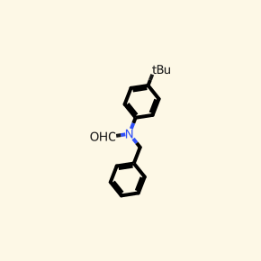 CC(C)(C)c1ccc(N(C=O)Cc2ccccc2)cc1